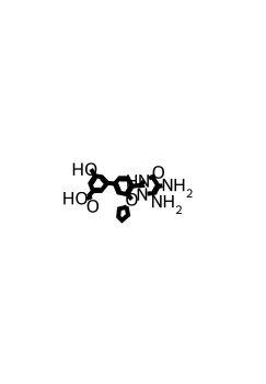 Nc1nc(-c2ccc(-c3cc(O)cc(C(=O)O)c3)cc2OC2CCCC2)[nH]c(=O)c1N